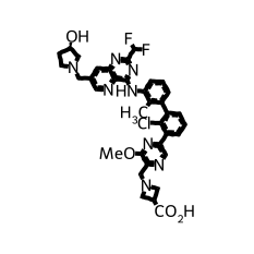 COc1nc(-c2cccc(-c3cccc(Nc4nc(C(F)F)nc5cc(CN6CC[C@@H](O)C6)cnc45)c3C)c2Cl)cnc1CN1CC(C(=O)O)C1